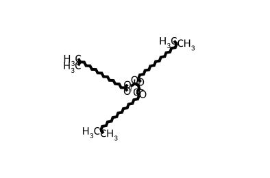 CC(C)CCCCCCCCCCCCCCC1O[C@H]([C@@H]2COC(CCCCCCCCCCCCCCC(C)C)O2)[C@@H]([C@H]2COC(CCCCCCCCCCCCCCC(C)C)O2)O1